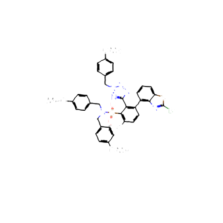 COc1ccc(CN(Cc2ccc(OC)cc2)S(=O)(=O)c2c(C(F)(F)F)ccc(-c3cccc4sc(Br)nc34)c2-c2nnn(Cc3ccc(OC)cc3)n2)cc1